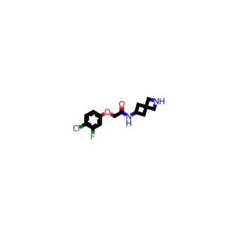 O=C(COc1ccc(Cl)c(F)c1)NC1CC2(CNC2)C1